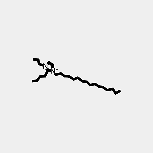 CCCCCCCCCCCCCCCC[n+]1ccn(CCC)c1CCCC